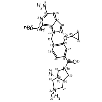 CCCCNc1nc(N)nc2cnn(Cc3ccc(C(=O)N4CC5CN(C)C[C@H]5C4)cc3OC3CC3)c12